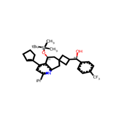 CC(C)c1cc(C2=CCCC2)c2c(n1)CC1(CC([C@@H](O)c3ccc(C(F)(F)F)cc3)C1)C[C@@H]2O[Si](C)(C)C(C)(C)C